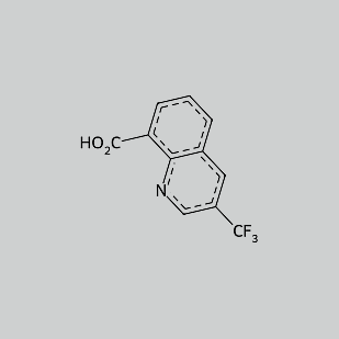 O=C(O)c1cccc2cc(C(F)(F)F)cnc12